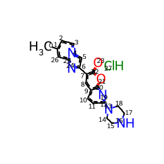 Cc1ccn2cc(-c3cc4ccc(N5CCNCC5)nc4oc3=O)nc2c1.Cl